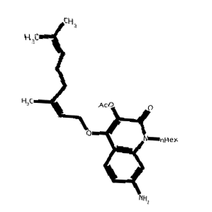 CCCCCCn1c(=O)c(OC(C)=O)c(OCC=C(C)CCC=C(C)C)c2ccc(N)cc21